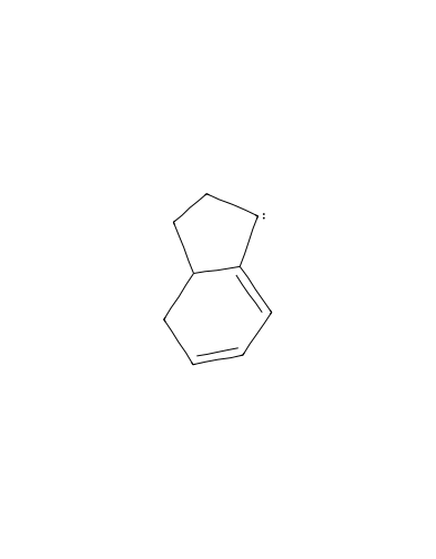 [C]1CCC2CC=CC=C12